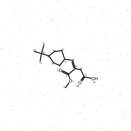 COC(=O)C(=CC1CCC(C(C)(C)C)CC1)CC(=O)O